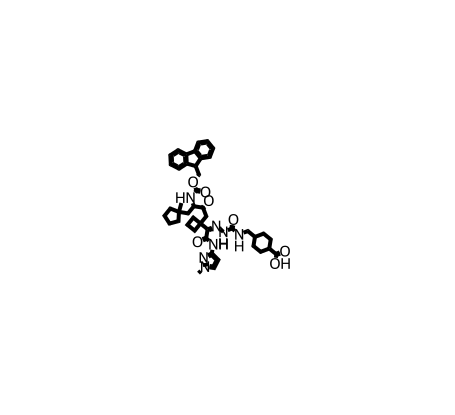 Cn1ccc(NC(=O)C(=NNC(=O)NCC2CCC(C(=O)O)CC2)C2(CC(=O)C(CC3(C)CCCC3)NC(=O)OCC3c4ccccc4-c4ccccc43)CCC2)n1